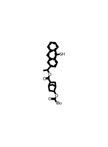 CCC(C)C(=O)OC1CC2CC1CC2C(=O)OC(C)c1ccc2c(S)c3ccccc3cc2c1